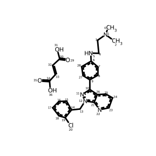 CN(C)CCNc1ccc(-c2nn(Cc3ccccc3Cl)c3ncccc23)cc1.O=C(O)C=CC(=O)O